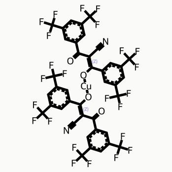 N#C/C(C(=O)c1cc(C(F)(F)F)cc(C(F)(F)F)c1)=C(/[O][Cu][O]/C(=C(/C#N)C(=O)c1cc(C(F)(F)F)cc(C(F)(F)F)c1)c1cc(C(F)(F)F)cc(C(F)(F)F)c1)c1cc(C(F)(F)F)cc(C(F)(F)F)c1